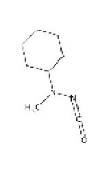 CN(N=C=O)C1CCCCC1